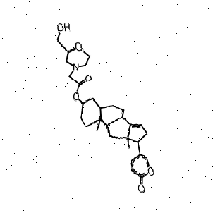 CC12CCC3C(CCC4CC(OC(=O)CN5CCOC(CO)C5)CCC43C)C1=CCC2c1ccc(=O)oc1